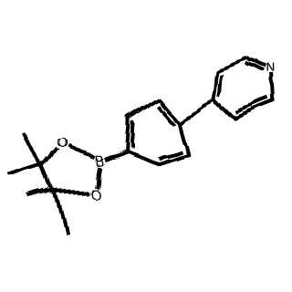 CC1(C)OB(c2ccc(-c3ccncc3)cc2)OC1(C)C